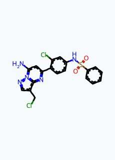 Nc1cc(-c2ccc(NS(=O)(=O)c3ccccc3)cc2Cl)nc2c(CCl)cnn12